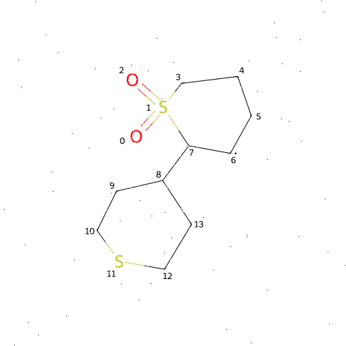 O=S1(=O)CCC[CH]C1C1CCSCC1